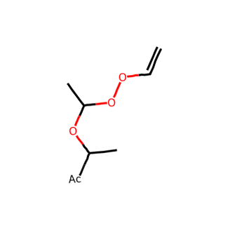 C=COOC(C)OC(C)C(C)=O